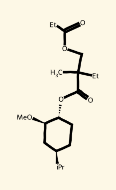 CCC(=O)OCC(C)(CC)C(=O)O[C@@H]1CC[C@@H](C(C)C)C[C@H]1OC